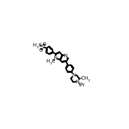 CC(C)N1CCN(c2ccc(-c3cnc4cc(-c5ccc(S(C)(=O)=O)cc5)n(C)c4c3)cc2)C[C@@H]1C